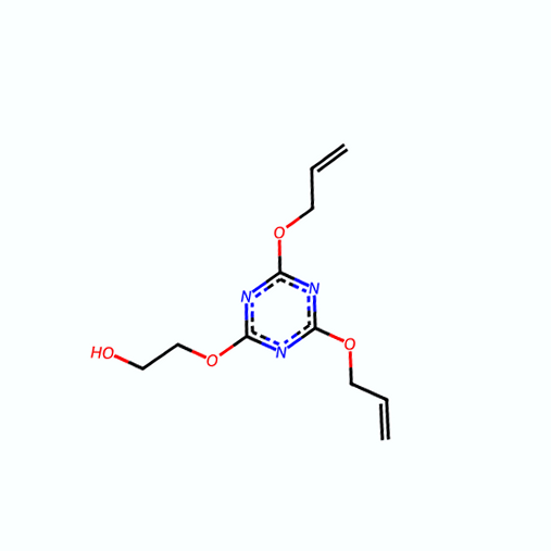 C=CCOc1nc(OCC=C)nc(OCCO)n1